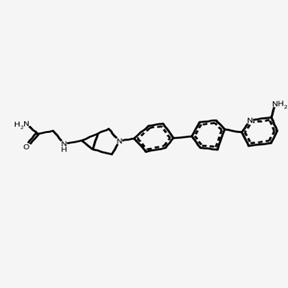 NC(=O)CNC1C2CN(c3ccc(-c4ccc(-c5cccc(N)n5)cc4)cc3)CC21